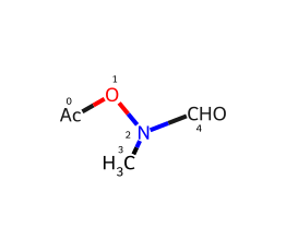 CC(=O)ON(C)C=O